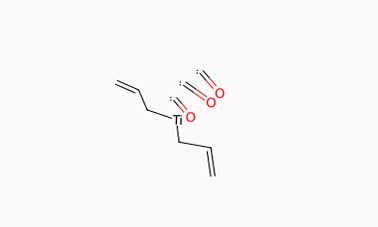 C=C[CH2][Ti][CH2]C=C.[C]=O.[C]=O.[C]=O